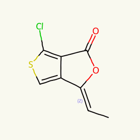 C/C=C1\OC(=O)c2c1csc2Cl